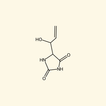 C=CC(O)C1NC(=O)NC1=O